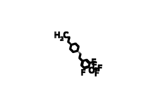 C=CC[C@H]1CC[C@H](CCc2cc(F)c(OC(F)(F)F)c(F)c2)CC1